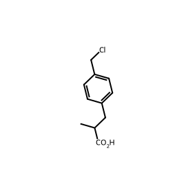 CC(Cc1ccc(CCl)cc1)C(=O)O